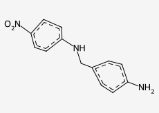 Nc1ccc(CNc2ccc([N+](=O)[O-])cc2)cc1